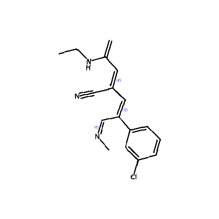 C=C(/C=C(C#N)/C=C(\C=N/C)c1cccc(Cl)c1)NCC